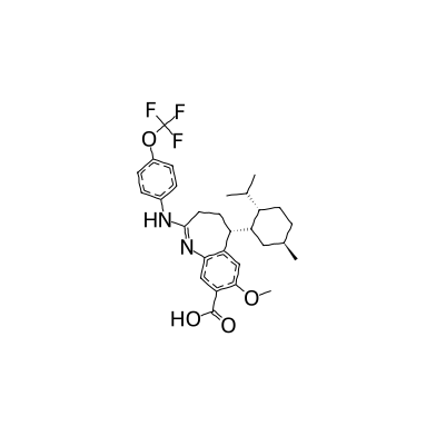 COc1cc2c(cc1C(=O)O)N=C(Nc1ccc(OC(F)(F)F)cc1)CC[C@@H]2C1C[C@H](C)CC[C@H]1C(C)C